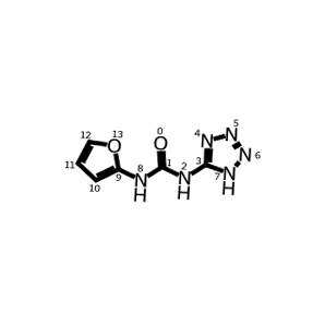 O=C(Nc1nnn[nH]1)Nc1ccco1